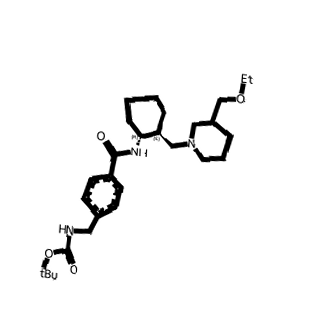 CCOCC1CCCN(C[C@@H]2CCCC[C@H]2NC(=O)c2ccc(CNC(=O)OC(C)(C)C)cc2)C1